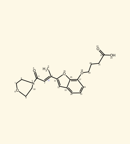 C/C(=C\C(=O)N1CCOCC1)c1cc2cccc(OCCCC(=O)O)c2o1